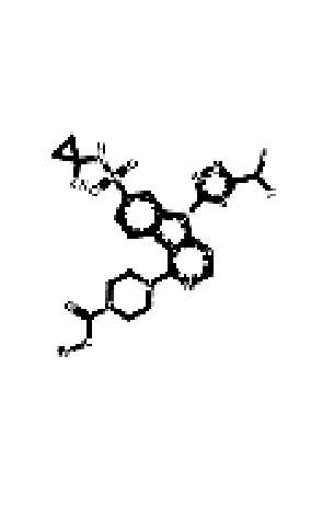 CC(C)OC(=O)N1CCN(c2ncnc3c2c2ccc(S(=O)(=O)NC4(C#N)CC4)cc2n3-c2nnc(C(F)F)s2)CC1